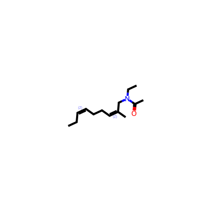 CC/C=C\CC/C=C(/C)CN(CC)C(C)=O